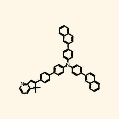 CC1(C)C(c2ccc(-c3ccc(N(c4ccc(-c5ccc6ccccc6c5)cc4)c4ccc(-c5ccc6ccccc6c5)cc4)cc3)cc2)=Cc2ncccc21